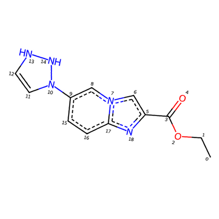 CCOC(=O)c1cn2cc(N3C=CNN3)ccc2n1